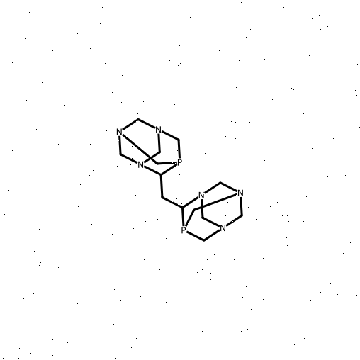 C(C1N2CN3CN(C2)CP1C3)C1N2CN3CN(C2)CP1C3